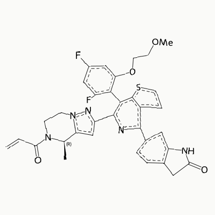 C=CC(=O)N1CCn2nc(-c3nc(-c4ccc5c(c4)NC(=O)C5)c4ccsc4c3-c3c(F)cc(F)cc3OCCOC)cc2[C@H]1C